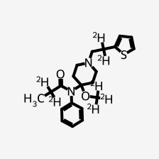 [2H]C([2H])([2H])OC1(N(C(=O)C([2H])([2H])C)c2ccccc2)CCN(CC([2H])([2H])c2cccs2)CC1